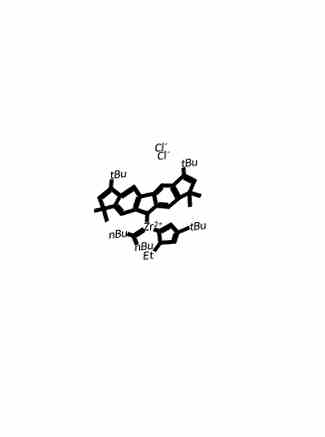 CCCC[C](CCCC)=[Zr+2]([C]1=CC(C(C)(C)C)=CC1CC)[CH]1c2cc3c(cc2-c2cc4c(cc21)C(C)(C)C=C4C(C)(C)C)C(C(C)(C)C)=CC3(C)C.[Cl-].[Cl-]